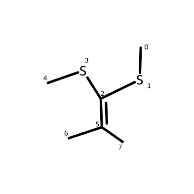 CSC(SC)=C(C)C